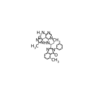 CCC(Nc1ncnc(N)c1-c1nc(C)no1)c1nc2cccc(C)c2c(=O)n1-c1ccccc1